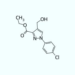 CCOC(=O)c1nn(-c2ccc(Cl)cc2)cc1CO